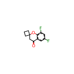 O=C1CC2(CCC2)Oc2c(F)cc(F)cc21